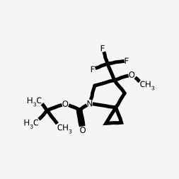 COC1(C(F)(F)F)CN(C(=O)OC(C)(C)C)C2(CC2)C1